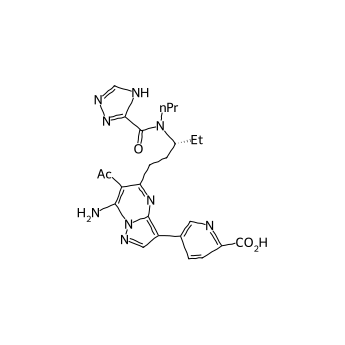 CCCN(C(=O)c1nnc[nH]1)[C@H](CC)CCc1nc2c(-c3ccc(C(=O)O)nc3)cnn2c(N)c1C(C)=O